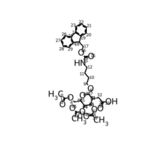 CC(=O)OC[C@H]1O[C@H](OCCCCNC(=O)OCC2c3ccccc3-c3ccccc32)[C@@H](CC(=O)O)[C@H](OC(C)=O)[C@H]1OC(C)=O